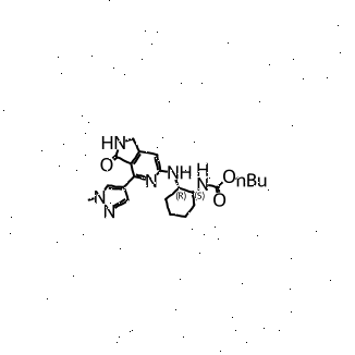 CCCCOC(=O)N[C@H]1CCCC[C@H]1Nc1cc2c(c(-c3cnn(C)c3)n1)C(=O)NC2